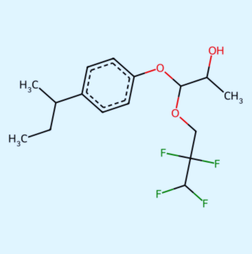 CCC(C)c1ccc(OC(OCC(F)(F)C(F)F)C(C)O)cc1